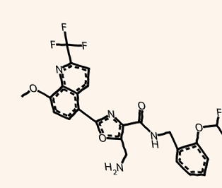 COc1ccc(-c2nc(C(=O)NCc3ccccc3OC(F)F)c(CN)o2)c2ccc(C(F)(F)F)nc12